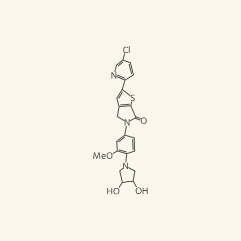 COc1cc(N2Cc3cc(-c4ccc(Cl)cn4)sc3C2=O)ccc1N1CC(O)C(O)C1